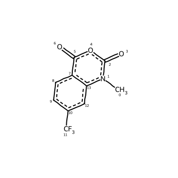 Cn1c(=O)oc(=O)c2ccc(C(F)(F)F)cc21